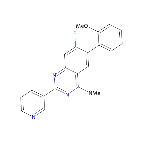 CNc1nc(-c2cccnc2)nc2cc(F)c(-c3ccccc3OC)cc12